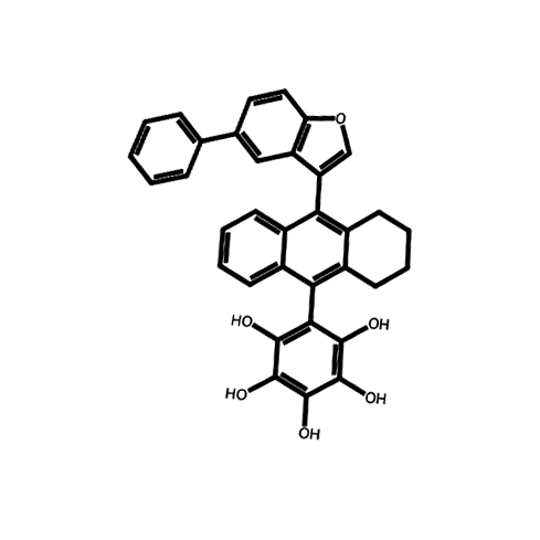 Oc1c(O)c(O)c(-c2c3c(c(-c4coc5ccc(-c6ccccc6)cc45)c4ccccc24)CCCC3)c(O)c1O